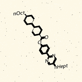 CCCCCCCC[C@H]1CC[C@H]([C@H]2CC[C@H](C(=O)Oc3ccc(-c4ncc(CCCCCCC)cn4)cc3)CC2)CC1